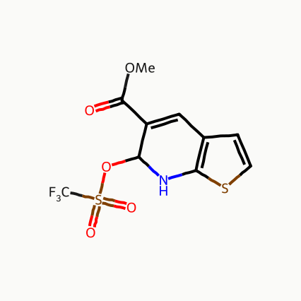 COC(=O)C1=Cc2ccsc2NC1OS(=O)(=O)C(F)(F)F